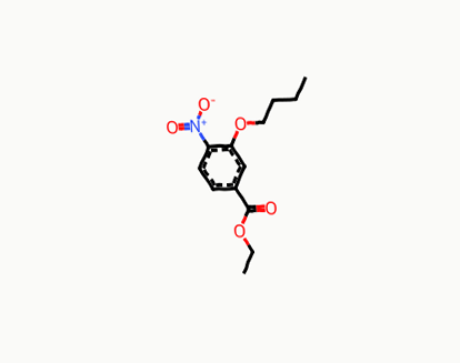 CCCCOc1cc(C(=O)OCC)ccc1[N+](=O)[O-]